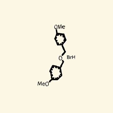 Br.COc1ccc(COCc2ccc(OC)cc2)cc1